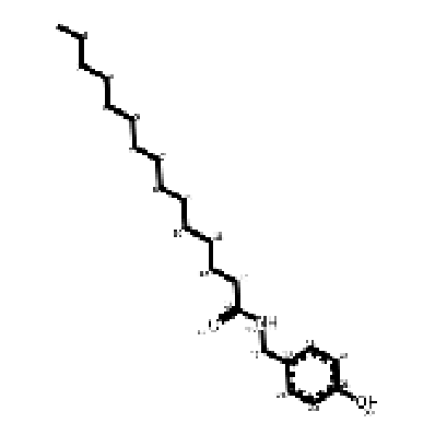 CCCCCCCCCCCCCCC(=O)NCc1ccc(O)cc1